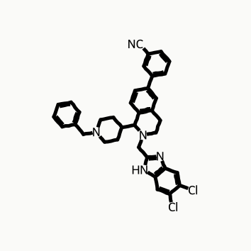 N#Cc1cccc(-c2ccc3c(c2)CCN(Cc2nc4cc(Cl)c(Cl)cc4[nH]2)C3C2CCN(Cc3ccccc3)CC2)c1